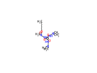 CCCCCCCCCOC(=O)CN(CC)CCCNC(=O)c1cc(C(=O)NCCCN(CC)CC)cc(C(=O)NCCCN(CC)CC)c1